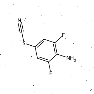 N#CSc1cc(F)c(N)c(F)c1